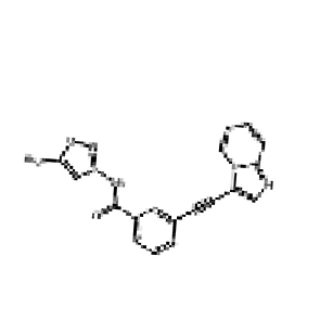 CC(C)(C)c1cc(NC(=O)c2cccc(C#Cc3cnc4ccccn34)c2)no1